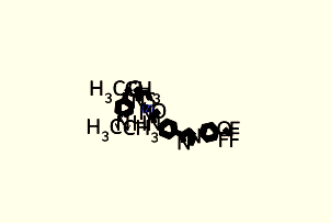 CC(C)c1ccc(N(C)C)cc1N1C(=O)CS/C1=N\C(=O)Nc1ccc(-c2cn(-c3ccc(OC(F)(F)F)cc3)cn2)cc1